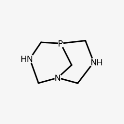 C1NCP2CNCN1C2